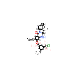 BC(B)(Cl)c1cc([N+](=O)[O-])cc(C(B)(B)Oc2cc3c(cc2OC)C(=O)N2C(/C=C\C#C)=C(C)C[C@H]2CN3)c1